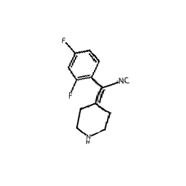 [C-]#[N+]C(=C1CCNCC1)c1ccc(F)cc1F